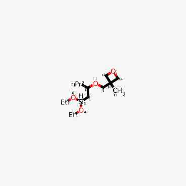 CCCC(C[SiH](OCC)OCC)OCC1(C)COC1